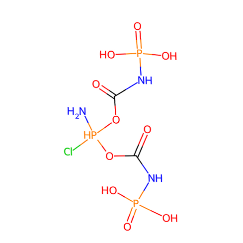 N[PH](Cl)(OC(=O)NP(=O)(O)O)OC(=O)NP(=O)(O)O